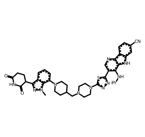 CC(C)Nc1c(-c2nnc(N3CCN(CC4CCN(c5cccc6c(C7CCC(=O)NC7=O)nn(C)c56)CC4)CC3)s2)cnc2c1[nH]c1cc(C#N)ccc12